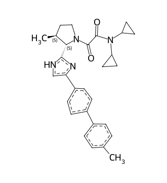 Cc1ccc(-c2ccc(-c3c[nH]c([C@@H]4[C@@H](C)CCN4C(=O)C(=O)N(C4CC4)C4CC4)n3)cc2)cc1